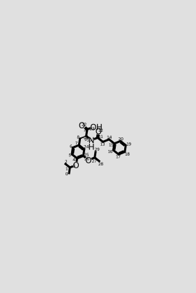 CC(C)Oc1ccc(C[C@H](NC(=O)CCc2ccccc2)C(=O)O)cc1OC(C)C